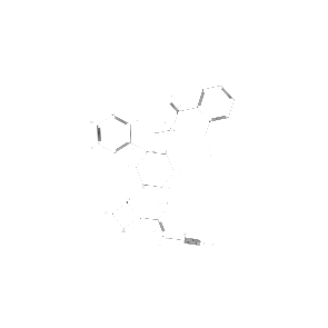 COc1ccccc1C(=O)NC[C@]1(c2ccccc2)CC[C@H](N/C(=N\C#N)N2CCC2)CC1